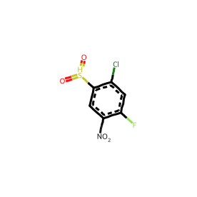 O=[N+]([O-])c1cc([SH](=O)=O)c(Cl)cc1F